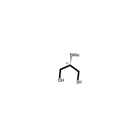 CN[C@@H](CO)CS